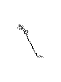 CCCCCCCCCCCCCCCCCCCCCCCCCCCC(=O)CC(O)COP(OCC)OCC